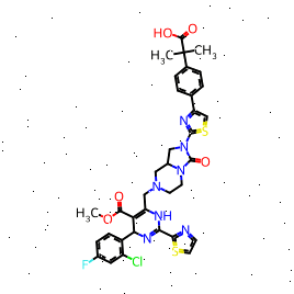 COC(=O)C1=C(CN2CCN3C(=O)N(c4nc(-c5ccc(C(C)(C)C(=O)O)cc5)cs4)CC3C2)NC(c2nccs2)=NC1c1ccc(F)cc1Cl